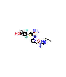 Cn1ncc(NC(=O)Cc2cccc(Nc3sc(-c4c(F)cc(C(C)(C)O)cc4F)cc3C(N)=O)n2)n1